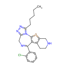 CCCCCc1nnc2n1-c1sc3c(c1C(c1ccccc1Cl)=NC2)CCNC3